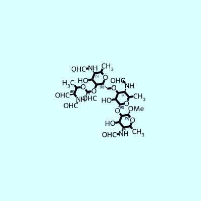 CO[C@H]1OC(C)[C@@H](NC=O)C(O)C1O[C@H]1OC(C)[C@@H](NC=O)C(OC[C@H]2OC(C)[C@@H](NC=O)C(O)C2O[C@H](C=O)OC(C)[C@H](C=O)NC=O)C1O